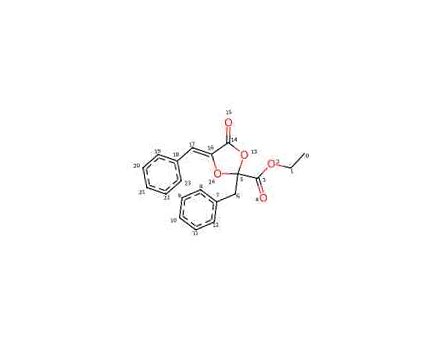 CCOC(=O)C1(Cc2ccccc2)OC(=O)/C(=C/c2ccccc2)O1